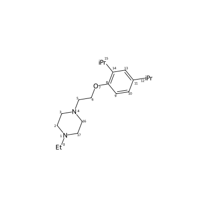 CCN1CCN(CCOc2ccc(C(C)C)cc2C(C)C)CC1